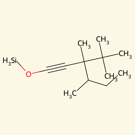 CCC(C)C(C)(C#CO[SiH3])C(C)(C)C